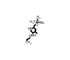 C=CCONC1CNC(CO[Si](C)(C)C(C)(C)C)C=C1I